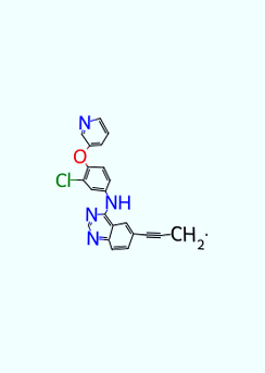 [CH2]C#Cc1ccc2ncnc(Nc3ccc(Oc4cccnc4)c(Cl)c3)c2c1